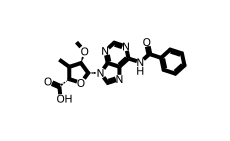 CO[C@H]1C(C)[C@@H](C(=O)O)O[C@H]1n1cnc2c(NC(=O)c3ccccc3)ncnc21